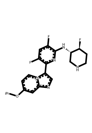 CC(C)Oc1ccn2c(-c3nc(N[C@H]4CNCC[C@@H]4F)c(F)cc3F)cnc2c1